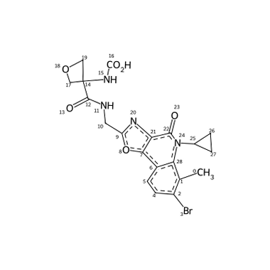 Cc1c(Br)ccc2c3oc(CNC(=O)C4(NC(=O)O)COC4)nc3c(=O)n(C3CC3)c12